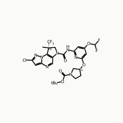 CC(C)(C)OC(=O)N1CC[C@H](Oc2cc(OC(F)F)cc(NC(=O)N3C[C@@](C)(C(F)(F)F)c4c3cnc3cc(Cl)nn43)n2)C1